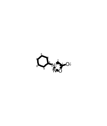 [O-]c1c[n+](C2CCCCC2)no1